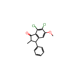 COc1cc2c(c(Cl)c1Cl)C(=O)C(C)C2c1ccccc1